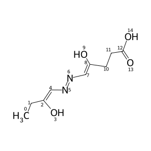 CCC(O)=CN=NC=C(O)CCC(=O)O